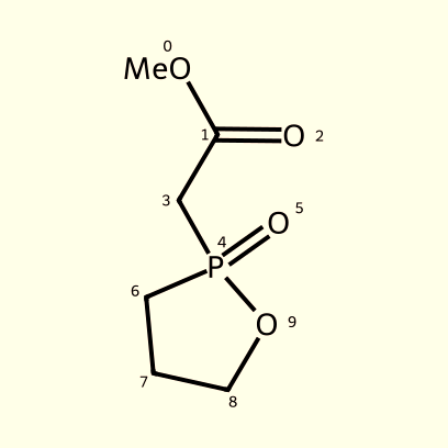 COC(=O)CP1(=O)CCCO1